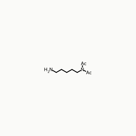 CC(=O)N(CCCCCN)C(C)=O